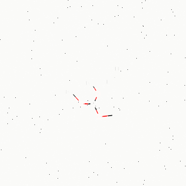 B.CC(C)(C)[O][Al]([O]C(C)(C)C)[O]C(C)(C)C.[H-].[Li+]